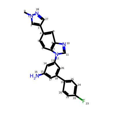 Cn1cc(-c2ccc3c(c2)ncn3-c2cc(N)cc(-c3ccc(F)cc3)c2)cn1